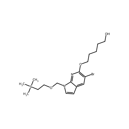 C[Si](C)(C)CCOCn1ccc2cc(Br)c(OCCCCCO)nc21